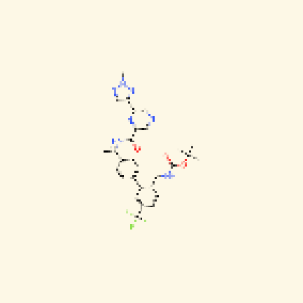 C[C@@H](NC(=O)c1cncc(-c2cnn(C)n2)n1)c1ccc(-c2cc(C(F)(F)F)ccc2CNC(=O)OC(C)(C)C)cc1